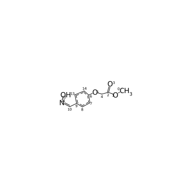 COC(=O)COc1ccc(/C=N\O)cc1